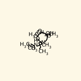 CCCC1(CNC(=O)CN(C)C)CC2(COC(=O)C(C)(C)C(=O)CC[C@](O)(OC)CCCN2C)C1